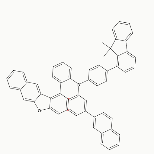 CC1(C)c2ccccc2-c2cccc(-c3ccc(N(c4cccc(-c5ccc6ccccc6c5)c4)c4ccccc4-c4cccc5oc6cc7ccccc7cc6c45)cc3)c21